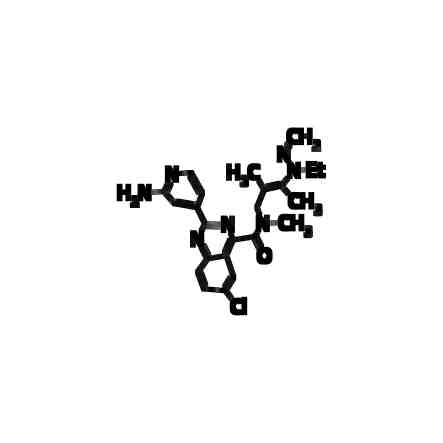 C=NN(CC)/C(C)=C(\C)CN(C)C(=O)c1nc(-c2ccnc(N)c2)nc2ccc(Cl)cc12